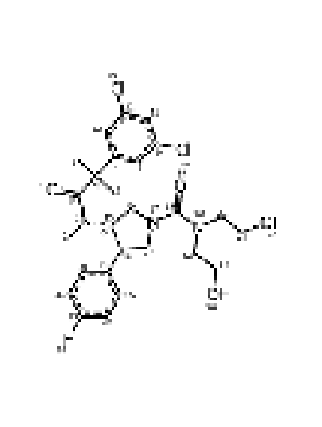 CN(C(=O)C(C)(C)c1cc(Cl)cc(Cl)c1)[C@@H]1CN(C(=O)N(CCO)CCO)CC1c1ccc(F)cc1